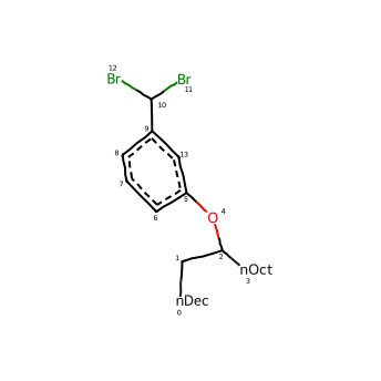 CCCCCCCCCCCC(CCCCCCCC)Oc1cccc(C(Br)Br)c1